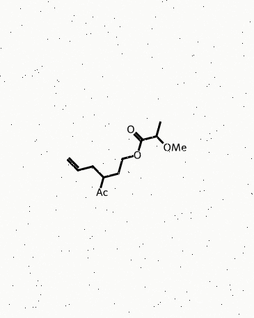 C=CCC(CCOC(=O)C(C)OC)C(C)=O